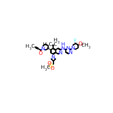 CC#CC(=O)N1CCC[C@@H](c2cc(N3CC(CS(C)(=O)=O)C3)c3cnc(Nc4ccnc(N5CC[C@@H](OC)[C@@H](F)C5)n4)cc3c2C(C)C)C1